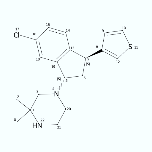 CC1(C)CN([C@H]2C[C@H](c3ccsc3)c3ccc(Cl)cc32)CCN1